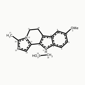 COc1ccc2[nH]c3c(c2c1)CCn1c-3cnc1C.CS(=O)(=O)O